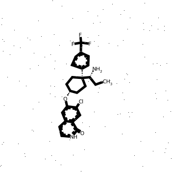 CC[C@@H](N)[C@]1(c2ccc(C(F)(F)F)cc2)CC[C@@H](Oc2cc3cc[nH]c(=O)c3cc2Cl)CC1